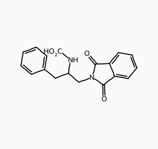 O=C(O)NC(Cc1ccccc1)CN1C(=O)c2ccccc2C1=O